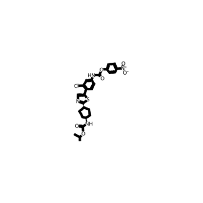 CC(C)OC(=O)N[C@H]1CC[C@H](c2ncc(-c3ccc(NC(=O)Oc4ccc([N+](=O)[O-])cc4)cc3Cl)s2)CC1